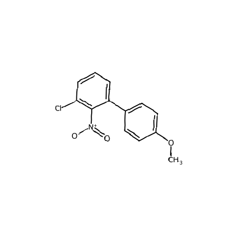 COc1ccc(-c2cccc(Cl)c2[N+](=O)[O-])cc1